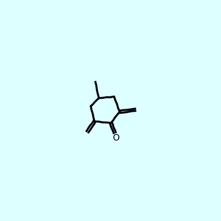 C=C1CC(C)CC(=C)C1=O